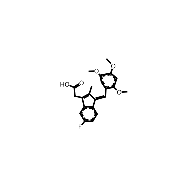 COc1cc(OC)c(OC)cc1/C=C1\C(C)=C(CC(=O)O)c2cc(F)ccc21